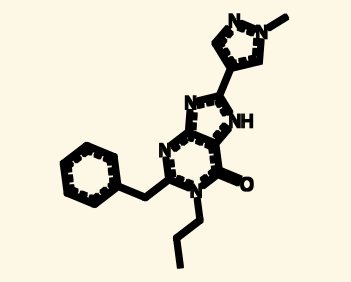 CCCn1c(Cc2ccccc2)nc2nc(-c3cnn(C)c3)[nH]c2c1=O